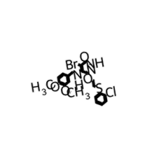 COc1ccc(CNc2c(OCCSc3ccccc3Cl)n[nH]c(=O)c2Br)cc1OC